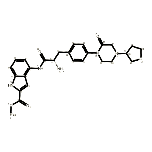 CC(C)(C)OC(=O)c1cc2c(NC(=O)[C@@H](N)Cc3ccc(N4CCN([C@H]5CCOC5)CC4=O)cc3)cccc2[nH]1